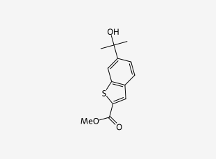 COC(=O)c1cc2ccc(C(C)(C)O)cc2s1